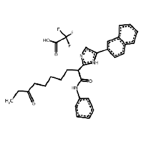 CCC(=O)CCCCCC(C(=O)Nc1ccccc1)c1ncc(-c2ccc3ccccc3c2)[nH]1.O=C(O)C(F)(F)F